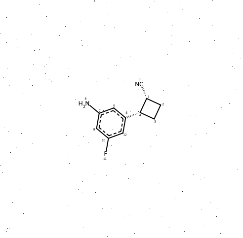 N#C[C@@H]1CC[C@@H]1c1cc(N)cc(F)c1